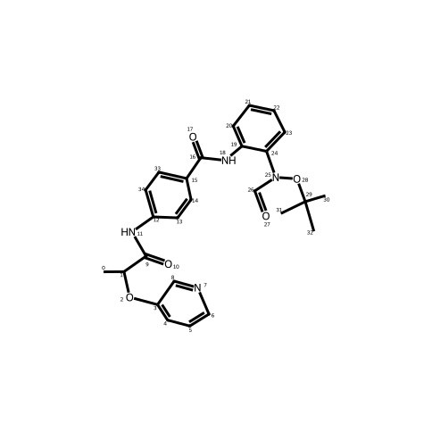 CC(Oc1cccnc1)C(=O)Nc1ccc(C(=O)Nc2ccccc2N(C=O)OC(C)(C)C)cc1